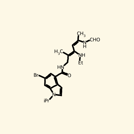 CCNC(/C=C(/C)NC=O)=C(/C)CNC(=O)c1cc(Br)cc2c1ccn2C(C)C